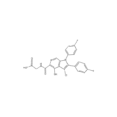 O=C(O)CNC(=O)c1ncc2c(c1O)c(Cl)c(-c1ccc(F)cc1)n2-c1ccc(F)cc1